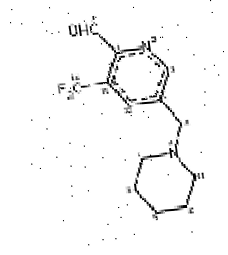 O=Cc1ncc(CN2CCCCC2)cc1C(F)(F)F